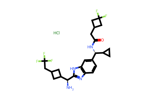 Cl.N[C@H](c1nc2ccc([C@H](NC(=O)CC3CC(F)(F)C3)C3CC3)cc2[nH]1)C1CC(CC(F)(F)F)C1